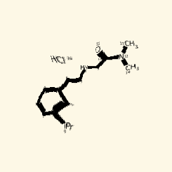 CC(C)c1cccc(CCNCC(=O)N(C)C)c1.Cl